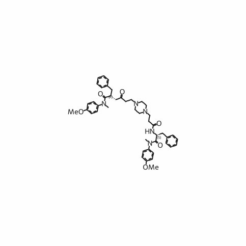 COc1ccc(N(C)C(=O)[C@@H](CC(=O)CCN2CCN(CCC(=O)N[C@@H](Cc3ccccc3)C(=O)N(C)c3ccc(OC)cc3)CC2)Cc2ccccc2)cc1